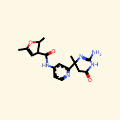 CC1=CC(C(=O)Nc2ccnc(C3(C)CC(=O)NC(N)=N3)c2)C(C)O1